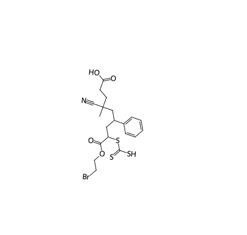 CC(C#N)(CCC(=O)O)CC(CC(SC(=S)S)C(=O)OCCBr)c1ccccc1